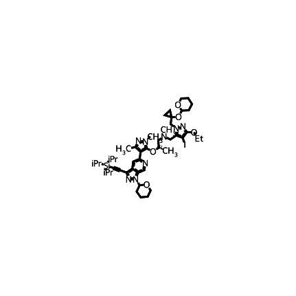 CCOc1nn(CC2(OC3CCCCO3)CC2)c(CN(C)C[C@H](C)Oc2c(-c3cc4c(C#C[Si](C(C)C)(C(C)C)C(C)C)nn(C5CCCCO5)c4cn3)c(C)nn2C)c1I